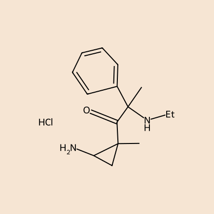 CCNC(C)(C(=O)C1(C)CC1N)c1ccccc1.Cl